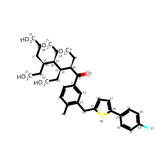 Cc1ccc(C(=O)[C@H](CC(=O)O)[C@@H](CC(=O)O)[C@H](CC(=O)O)[C@H](CCC(=O)O)CC(=O)O)cc1Cc1ccc(-c2ccc(F)cc2)s1